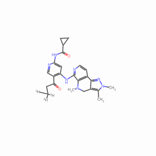 [2H]C([2H])([2H])CC(=O)c1cnc(NC(=O)C2CC2)cc1Nc1nccc2c1N(C)Cc1c-2nn(C)c1C